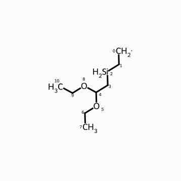 [CH2]C[SiH2]CC(OCC)OCC